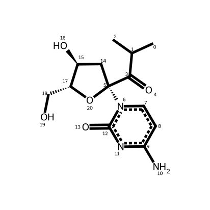 CC(C)C(=O)[C@]1(n2ccc(N)nc2=O)C[C@H](O)[C@@H](CO)O1